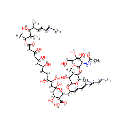 C/C=C/C=C/C=C/C=C/C(CC1OC(O)(CC(O)C(O)CCC(O)CC(O)CC(O)CC(=O)OC(C)C(C)C(O)C(C)/C=C/C=C/C)CC(O)C1C(=O)O)OC1OC(C)C(OC2OC(CO)C(O)C(O)C2NC(C)=O)C(C)C1O